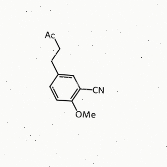 COc1ccc(CCC(C)=O)cc1C#N